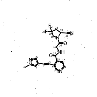 Cn1cc(C#Cc2cnccc2C(=O)NCC(=O)N2CC(F)(F)CC2C#N)cn1